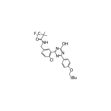 CC(C)(C)COc1ccc(-c2nc(O)nc(-c3cc(CNC(=O)C(C)(C)C(F)(F)F)ccc3Cl)n2)cc1